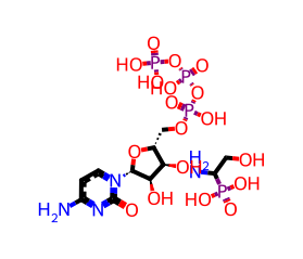 NC(CO)P(=O)(O)O.Nc1ccn([C@@H]2O[C@H](COP(=O)(O)OP(=O)(O)OP(=O)(O)O)[C@@H](O)[C@H]2O)c(=O)n1